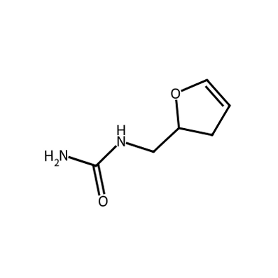 NC(=O)NCC1CC=CO1